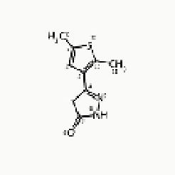 Cc1cc(C2=NNC(=O)C2)c(C)s1